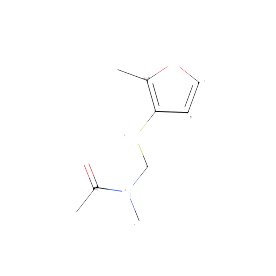 CC(=O)N(C)CSc1ccoc1C